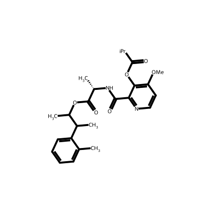 COc1ccnc(C(=O)N[C@@H](C)C(=O)OC(C)C(C)c2ccccc2C)c1OC(=O)C(C)C